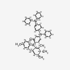 CC1=C2B(C3C=CC(N(c4ccccc4)c4ccc(N(c5ccccc5)c5ccccc5)cc4)=CC3)c3c(C)cc(C)cc3CC2=CC(C)[C@H]1C